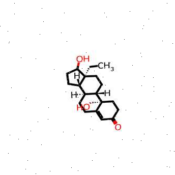 CC[C@]12CC[C@H]3[C@@H](CCC4=CC(=O)CC[C@@]43CO)[C@@H]1CCC2O